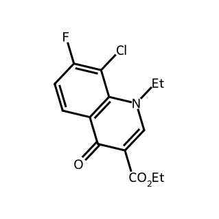 CCOC(=O)c1cn(CC)c2c(Cl)c(F)ccc2c1=O